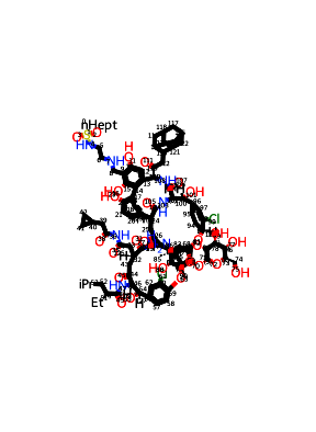 CCCCCCCS(=O)(=O)NCCNCc1c(O)cc2c(c1O)-c1cc(ccc1O)[C@H]1CC(=O)[C@@H]3NC(=O)[C@H](CC(=O)NC(=O)CC4CC4)CC(=O)[C@H](NC(=O)[C@H](CC)CC(C)C)[C@H](O)c4ccc(c(Cl)c4)Oc4cc3cc(c4O[C@@H]3O[C@H](CO)[C@@H](O)[C@H](O)[C@H]3O[C@H]3C[C@](C)(N)[C@H](O)[C@H](C)O3)O[C@@H]3CC=C(C=C3Cl)[C@@H](O)[C@H](NC1=O)C(=O)N[C@@H]2C(=O)CC1C2CC3CC(C2)CC1C3